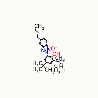 CCCCc1ccc2c(c1)nn(-c1cc(C(C)(C)C)cc(C(C)(C)C)c1O)[n+]2[O-]